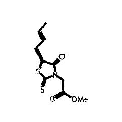 CC=C/C=C1/SC(=S)N(CC(=O)OC)C1=O